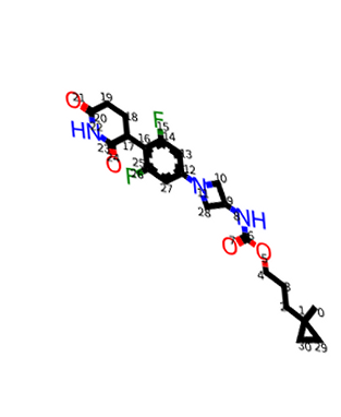 CC1(CCCOC(=O)NC2CN(c3cc(F)c(C4CCC(=O)NC4=O)c(F)c3)C2)CC1